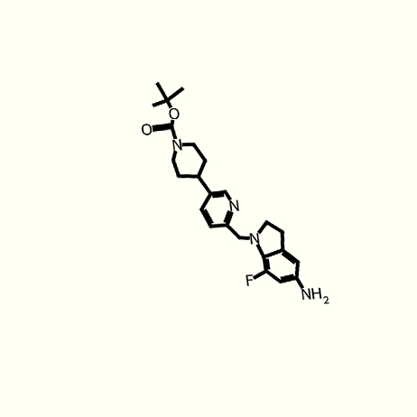 CC(C)(C)OC(=O)N1CCC(c2ccc(CN3CCc4cc(N)cc(F)c43)nc2)CC1